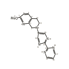 COc1ccc2c(n1)CN(c1cnc(-c3ncccn3)nc1)CC2